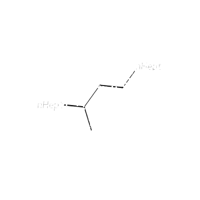 CCCCCCCC[CH]C(C)CCCCCCC